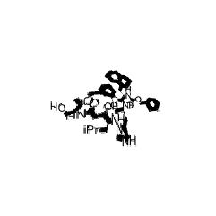 CC(C)C[C@H](NC(=O)[C@H](Cc1c[nH]cn1)NC(=O)[C@H](Cc1cccc2ccccc12)NC(=O)OCc1ccccc1)[C@@H](O)CC(=O)NC(CO)C(C)OCc1ccccc1